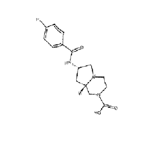 O=C(N[C@H]1C[C@H]2CN(C(=O)O)CCN2C1)c1ccc(F)cc1